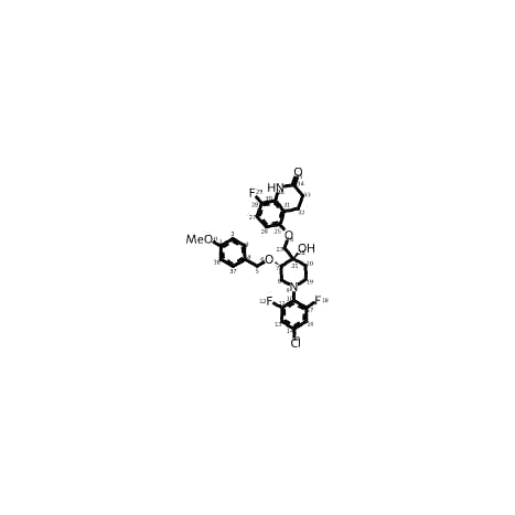 COc1ccc(CO[C@H]2CN(c3c(F)cc(Cl)cc3F)CC[C@@]2(O)COc2ccc(F)c3c2CCC(=O)N3)cc1